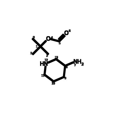 CC(C)(C)OC=O.NC1CCCNC1